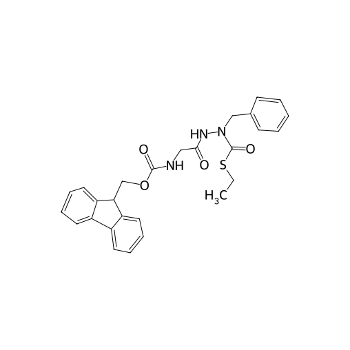 CCSC(=O)N(Cc1ccccc1)NC(=O)CNC(=O)OCC1c2ccccc2-c2ccccc21